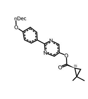 CCCCCCCCCCOc1ccc(-c2ncc(OC(=O)[C@H]3CC3(C)C)cn2)cc1